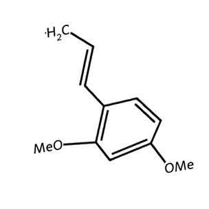 [CH2]C=Cc1ccc(OC)cc1OC